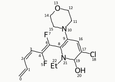 C=C/C=C\C(F)=C(/F)C1=C(N2CCOCC2)C=C(Cl)C(O)N1CC